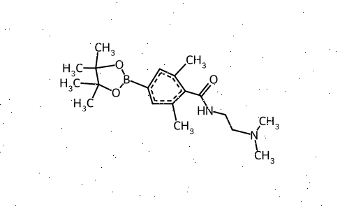 Cc1cc(B2OC(C)(C)C(C)(C)O2)cc(C)c1C(=O)NCCN(C)C